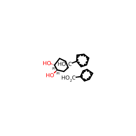 O=C(O)c1ccccc1.O=C(O)c1ccccc1.O[C@@H]1CCCC[C@H]1O